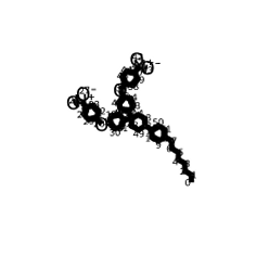 CCCCCCCCc1ccc(C2CCC(c3ccc(Oc4ccc([N+](=O)[O-])cc4)cc3)(c3ccc(Oc4ccc([N+](=O)[O-])cc4)cc3)CC2)cc1